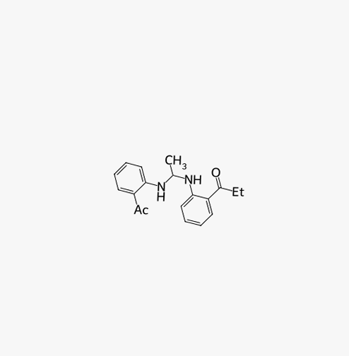 CCC(=O)c1ccccc1NC(C)Nc1ccccc1C(C)=O